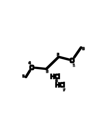 COCCOC.Cl.Cl